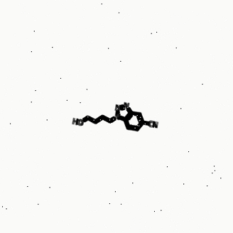 N#Cc1ccc2c(c1)nnn2CCCCO